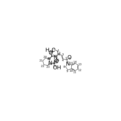 CC[C@@H](C=CC(=O)N1CCc2ccccc21)NC(=O)[C@@H]1CCCCN1C(=O)O